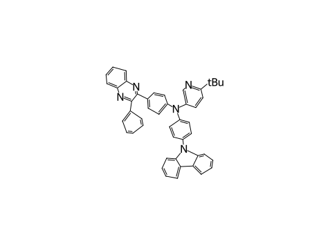 CC(C)(C)c1ccc(N(c2ccc(-c3nc4ccccc4nc3-c3ccccc3)cc2)c2ccc(-n3c4ccccc4c4ccccc43)cc2)cn1